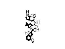 COc1cccc2[nH]c(C(O)N3CC4(CC4)C[C@H]3C(=O)N[C@H](C#N)C[C@@H]3CCNC3=O)cc12